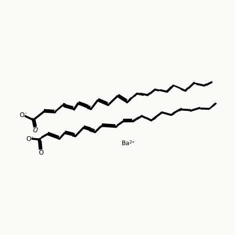 CCCCCCCCCC=CC=CC=CC=CC=CC(=O)[O-].CCCCCCCCCC=CC=CC=CC=CC=CC(=O)[O-].[Ba+2]